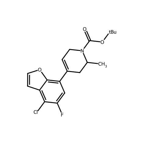 CC1CC(c2cc(F)c(Cl)c3ccoc23)=CCN1C(=O)OC(C)(C)C